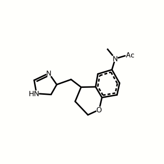 CC(=O)N(C)c1ccc2c(c1)C(CC1CNC=N1)CCO2